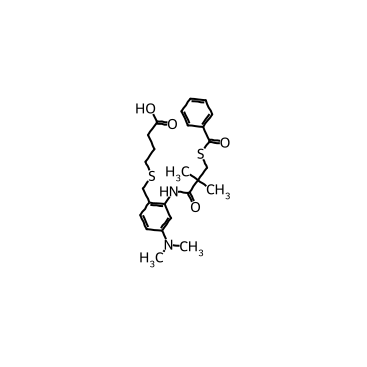 CN(C)c1ccc(CSCCCC(=O)O)c(NC(=O)C(C)(C)CSC(=O)c2ccccc2)c1